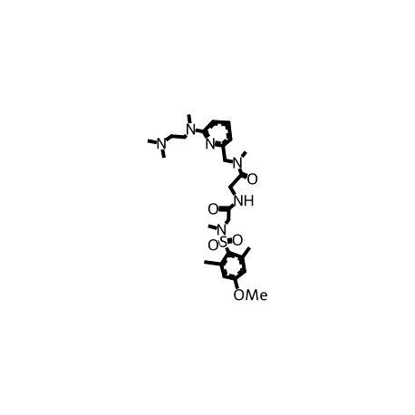 COc1cc(C)c(S(=O)(=O)N(C)CC(=O)NCC(=O)N(C)Cc2cccc(N(C)CCN(C)C)n2)c(C)c1